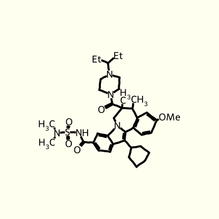 CCC(CC)N1CCN(C(=O)C2(C)Cn3c(c(C4CCCCC4)c4ccc(C(=O)NS(=O)(=O)N(C)C)cc43)-c3ccc(OC)cc3C2C)CC1